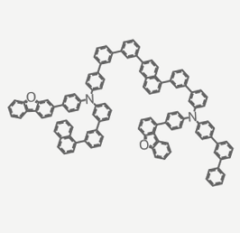 c1ccc(-c2cccc(-c3ccc(N(c4ccc(-c5cccc6oc7ccccc7c56)cc4)c4cccc(-c5cccc(-c6cccc7cc(-c8cccc(-c9cccc(-c%10ccc(N(c%11ccc(-c%12ccc%13c(c%12)oc%12ccccc%12%13)cc%11)c%11cccc(-c%12cccc(-c%13cccc%14ccccc%13%14)c%12)c%11)cc%10)c9)c8)ccc67)c5)c4)cc3)c2)cc1